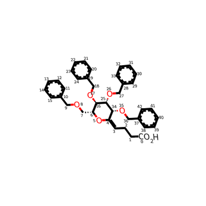 O=C(O)CC/C=C1/O[C@H](COCc2ccccc2)[C@@H](OCc2ccccc2)[C@H](OCc2ccccc2)[C@@H]1OCc1ccccc1